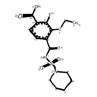 CCOc1c(C(=O)NS(=O)(=O)N2CCCCC2)ccc(C(=O)O)c1F